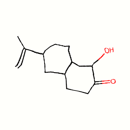 C=C(C)C1CCC2C(CCC(=O)C2O)C1